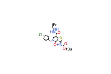 CC(C)CNNC(=O)c1cn(Cc2ccc(Cl)cc2)c(=O)c2c1SC[C@@H]2NC(=O)OC(C)(C)C